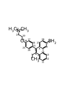 Bc1ccc(C(=C(CC)c2ccccc2)c2ccc(OCCN(C)C)cc2)cc1